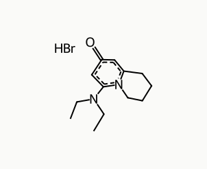 Br.CCN(CC)c1cc(=O)cc2n1CCCC2